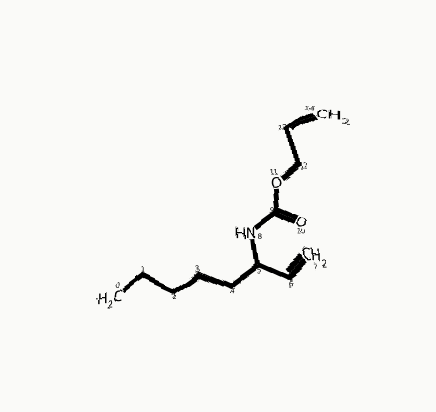 [CH2]CCCCC(C=C)NC(=O)OCC=C